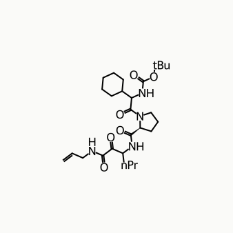 C=CCNC(=O)C(=O)C(CCC)NC(=O)[C@@H]1CCCN1C(=O)C(NC(=O)OC(C)(C)C)C1CCCCC1